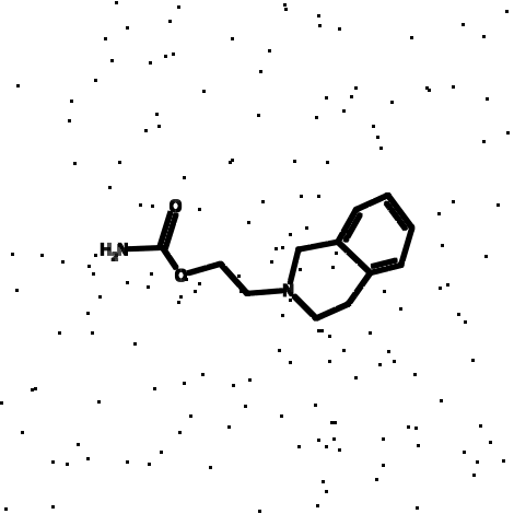 NC(=O)OCCN1CCc2ccccc2C1